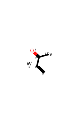 C=C[C](=O)[Re].[W]